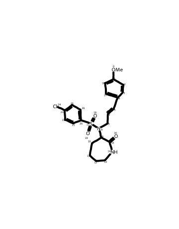 COc1ccc(C=CCN(C2CCCCNC2=O)S(=O)(=O)c2ccc(Cl)cc2)cc1